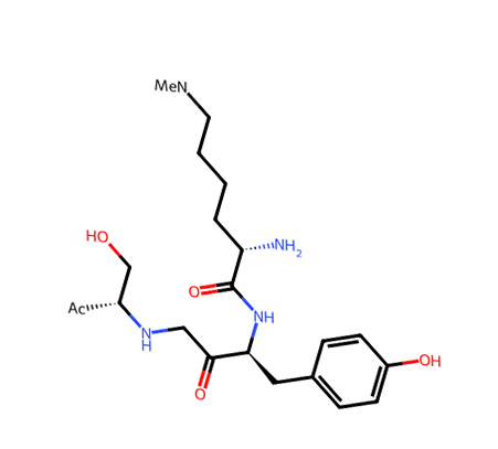 CNCCCC[C@H](N)C(=O)N[C@@H](Cc1ccc(O)cc1)C(=O)CN[C@@H](CO)C(C)=O